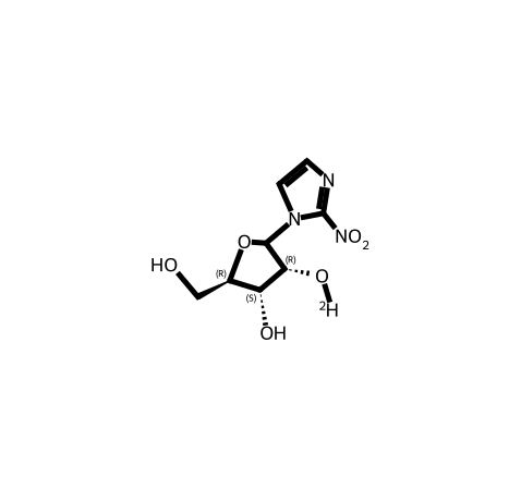 [2H]O[C@H]1C(n2ccnc2[N+](=O)[O-])O[C@H](CO)[C@H]1O